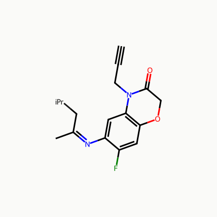 C#CCN1C(=O)COc2cc(F)c(N=C(C)CC(C)C)cc21